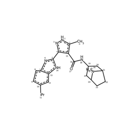 Cc1[nH]nc(-c2nc3ccc(C(C)C)cc3[nH]2)c1C(=O)NC1CC2CCC(C1)N2C